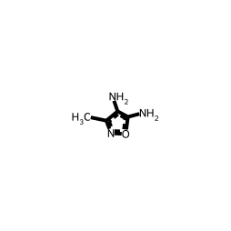 Cc1noc(N)c1N